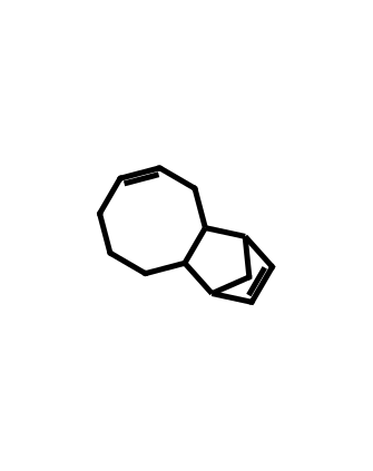 C1=CCC2C3C=CC(C3)C2CCC1